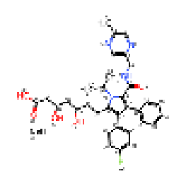 Cc1cnc(CNC(=O)c2c(-c3ccccc3)c(-c3ccc(F)cc3)c(CC[C@@H](O)C[C@@H](O)CC(=O)O)n2C(C)C)cn1.[NaH]